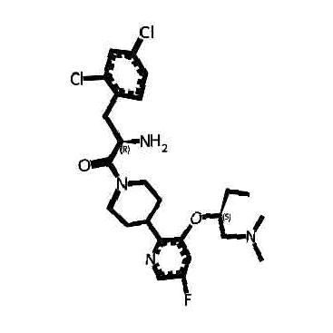 CC[C@@H](CN(C)C)Oc1cc(F)cnc1C1CCN(C(=O)[C@H](N)Cc2ccc(Cl)cc2Cl)CC1